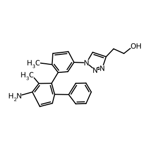 Cc1ccc(-n2cc(CCO)nn2)cc1-c1c(-c2ccccc2)ccc(N)c1C